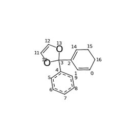 C1=CC(C2(c3ccccc3)OC=CO2)=CCC1